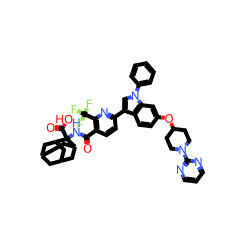 O=C(NC1(C(=O)O)C2CC3CC(C2)CC1C3)c1ccc(-c2cn(-c3ccccc3)c3cc(OC4CCN(c5ncccn5)CC4)ccc23)nc1C(F)(F)F